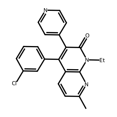 CCn1c(=O)c(-c2ccncc2)c(-c2cccc(Cl)c2)c2ccc(C)nc21